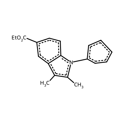 CCOC(=O)c1ccc2c(c1)c(C)c(C)n2-c1ccccc1